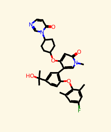 Cc1cc(F)cc(C)c1Oc1ccc(C(C)(C)O)cc1-c1cn(C)c(=O)cc1OC1CCC(n2cnccc2=O)CC1